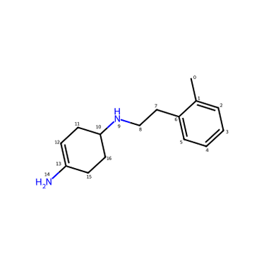 Cc1ccccc1CCNC1CC=C(N)CC1